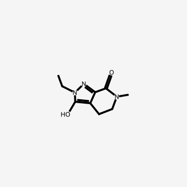 CCn1nc2c(c1O)CCN(C)C2=O